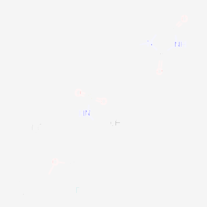 CCCc1c(C(C)NS(=O)(=O)CCCCCN2CC(=O)NC2=O)ccc(F)c1OCC1CC1